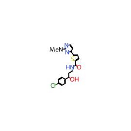 CNc1nccc(-c2ccc(C(=O)NCCC(O)c3ccc(Cl)cc3)s2)n1